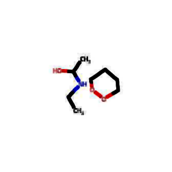 C1CCOOC1.CCNC(C)O